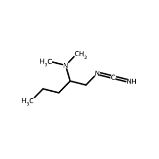 CCCC(CN=C=N)N(C)C